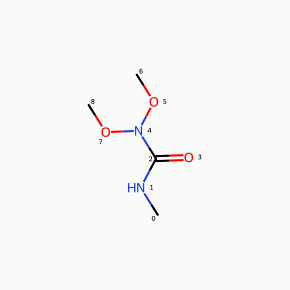 CNC(=O)N(OC)OC